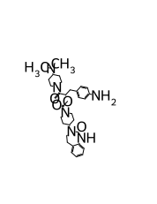 CN(C)C1CCN(C(=O)C(Cc2ccc(N)cc2)OC(=O)N2CCC(N3CCc4ccccc4NC3=O)CC2)CC1